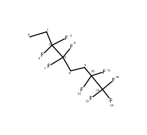 CCC(F)(F)C(F)(F)CCC(F)(F)C(F)(F)F